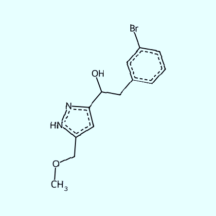 COCc1cc(C(O)Cc2cccc(Br)c2)n[nH]1